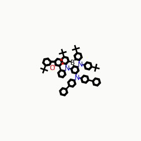 CC(C)(C)c1ccc(N2c3ccc(C(C)(C)C)cc3B3c4cc(C(C)(C)C)ccc4N(c4ccccc4-c4cccc5c4oc4c(C(C)(C)C)cccc45)c4cc(N(c5ccc(-c6ccccc6)cc5)c5ccc(-c6ccccc6)cc5)cc2c43)cc1